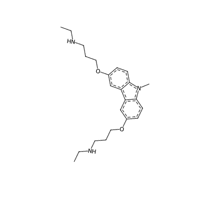 CCNCCCOc1ccc2c(c1)c1cc(OCCCNCC)ccc1n2C